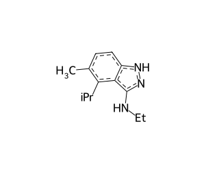 CCNc1n[nH]c2ccc(C)c(C(C)C)c12